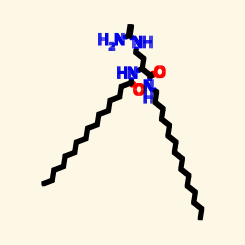 C=C(N)NCCC(NC(=O)CCCCCCCCCCCCCCC)C(=O)NCCCCCCCCCCCCCCCC